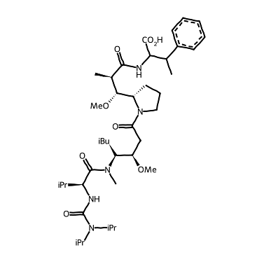 CC[C@H](C)[C@@H]([C@@H](CC(=O)N1CCC[C@H]1[C@H](OC)[C@@H](C)C(=O)NC(C(=O)O)C(C)c1ccccc1)OC)N(C)C(=O)[C@@H](NC(=O)N(C(C)C)C(C)C)C(C)C